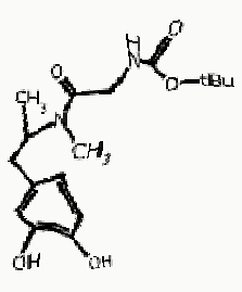 CC(Cc1ccc(O)c(O)c1)N(C)C(=O)CNC(=O)OC(C)(C)C